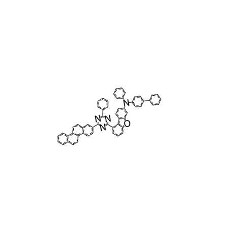 c1ccc(-c2ccc(N(c3ccccc3)c3ccc4c(c3)oc3cccc(-c5nc(-c6ccccc6)nc(-c6ccc7c(ccc8c9ccccc9ccc78)c6)n5)c34)cc2)cc1